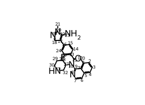 Cc1cccc2ccnc(N(C(=O)c3ccc(-c4cnn(C)c4N)cc3F)[C@@H]3CCCNC3)c12